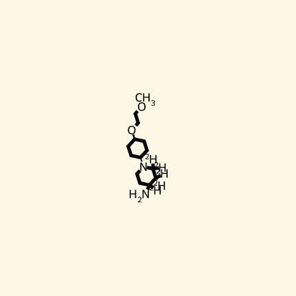 [2H]C1(N)CCN([C@H]2CC[C@H](OCCOC)CC2)C([2H])([2H])C1([2H])[2H]